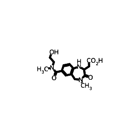 CN(CCO)C(=O)c1ccc2c(c1)CN(C)C(=O)C(CC(=O)O)N2